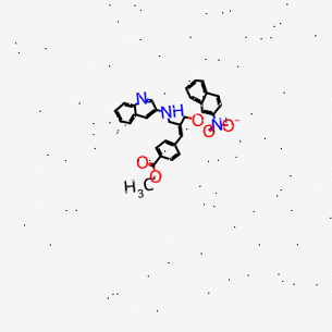 COC(=O)c1ccc(C=C(CNc2cnc3ccccc3c2)COc2c([N+](=O)[O-])ccc3ccccc23)cc1